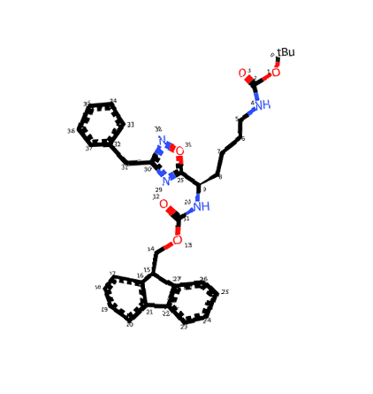 CC(C)(C)OC(=O)NCCCC[C@@H](NC(=O)OCC1c2ccccc2-c2ccccc21)c1nc(Cc2ccccc2)no1